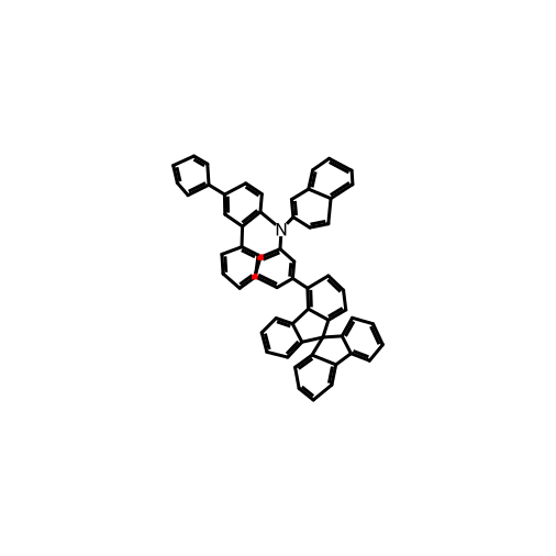 c1ccc(-c2ccc(N(c3cccc(-c4cccc5c4-c4ccccc4C54c5ccccc5-c5ccccc54)c3)c3ccc4ccccc4c3)c(-c3ccccc3)c2)cc1